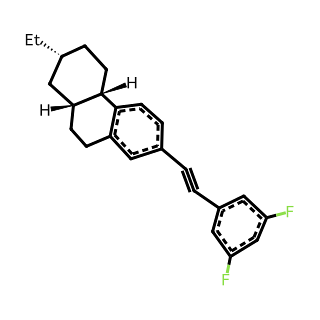 CC[C@@H]1CC[C@@H]2c3ccc(C#Cc4cc(F)cc(F)c4)cc3CC[C@@H]2C1